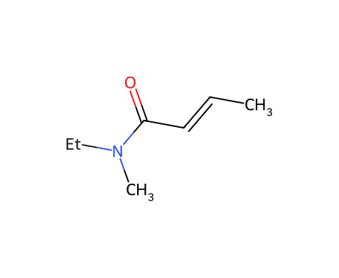 CC=CC(=O)N(C)CC